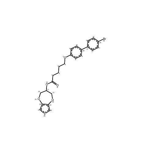 O=C(CCCCOc1ccc(-c2ccc(Br)cc2)cc1)OC1COc2cscc2OC1